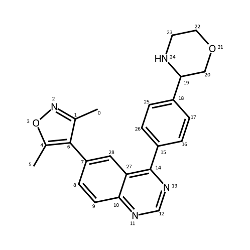 Cc1noc(C)c1-c1ccc2ncnc(-c3ccc(C4COCCN4)cc3)c2c1